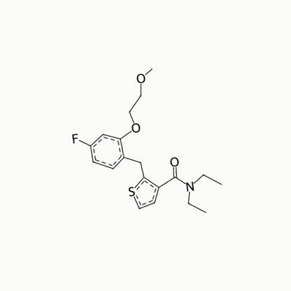 CCN(CC)C(=O)c1ccsc1Cc1ccc(F)cc1OCCOC